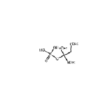 CCCCCCCCCCCC(CCCCCCCCCC)(CCCCCCCCCC)OP(=O)(O)O